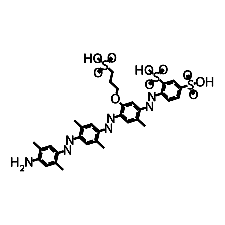 Cc1cc(N=Nc2cc(C)c(N=Nc3cc(C)c(N=Nc4ccc(S(=O)(=O)O)cc4S(=O)(=O)O)cc3OCCCS(=O)(=O)O)cc2C)c(C)cc1N